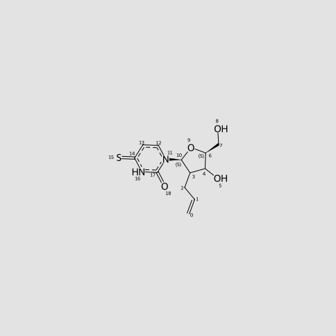 C=CCC1C(O)[C@H](CO)O[C@@H]1n1ccc(=S)[nH]c1=O